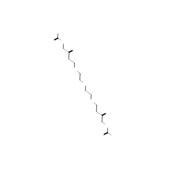 O=C(CCOCCOCCOCCC(=O)COC(=O)C(F)(F)F)COC(=O)C(F)(F)F